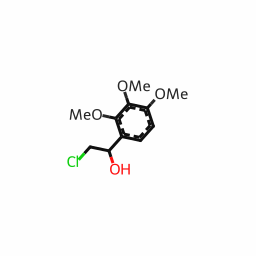 COc1ccc(C(O)CCl)c(OC)c1OC